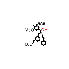 COc1cc(C(O)[C@H](CCCc2ccccc2)Cc2cccc(CCC(=O)O)c2)cc(OC)c1C